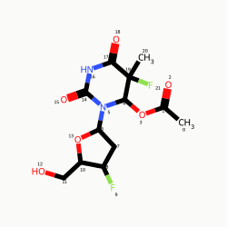 CC(=O)OC1N(C2CC(F)C(CO)O2)C(=O)NC(=O)C1(C)F